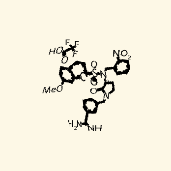 COc1ccc2ccc(S(=O)(=O)N(Cc3ccccc3[N+](=O)[O-])[C@H]3CCN(Cc4cccc(C(=N)N)c4)C3=O)cc2c1.O=C(O)C(F)(F)F